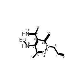 C=CCN1N=C(C)C(NCC)=C(C(C)=N)C1=C